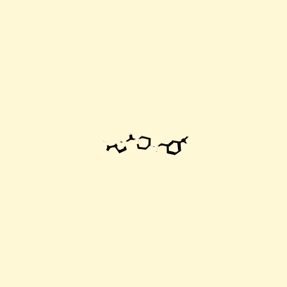 C[C@@H]1C[C@@H](N(C)Cc2cccc(C(F)(F)F)c2)CCN1C(=O)n1ccc(C(N)=O)n1